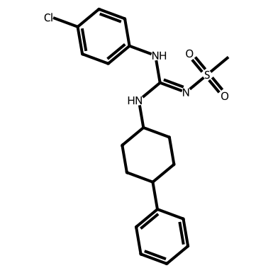 CS(=O)(=O)/N=C(\Nc1ccc(Cl)cc1)NC1CCC(c2ccccc2)CC1